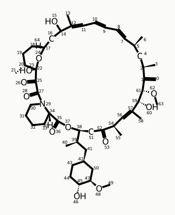 C=C1[C@H](C)C[C@H](C)/C=C/C=C/C=C(\C)C(O)C[C@@H]2CC[C@@H](C)[C@@](O)(O2)C(=O)C(=O)N2CCCC[C@H]2C(=O)O[C@H]([C@H](C)C[C@@H]2CC[C@@H](O)[C@H](OC)C2)CC(=O)[C@H](C)/C=C(\C)[C@@H](O)[C@H]1OC